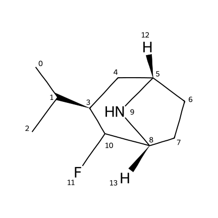 CC(C)[C@H]1C[C@@H]2CC[C@@H](N2)C1F